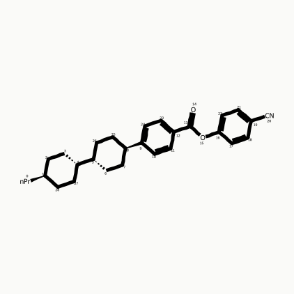 CCC[C@H]1CC[C@H]([C@H]2CC[C@H](c3ccc(C(=O)Oc4ccc(C#N)cc4)cc3)CC2)CC1